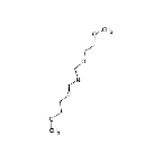 COCCOC[N]COCCOC